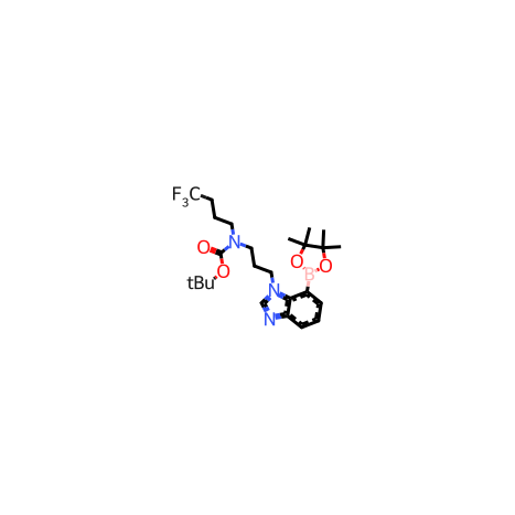 CC(C)(C)OC(=O)N(CCCn1cnc2cccc(B3OC(C)(C)C(C)(C)O3)c21)CCCC(F)(F)F